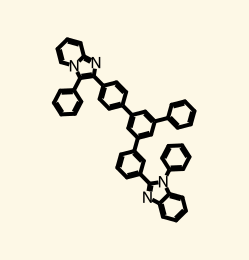 c1ccc(-c2cc(-c3ccc(-c4nc5ccccn5c4-c4ccccc4)cc3)cc(-c3cccc(-c4nc5ccccc5n4-c4ccccc4)c3)c2)cc1